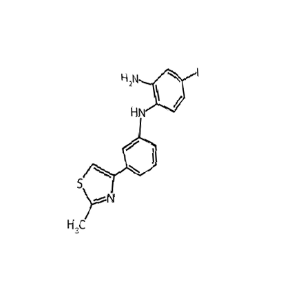 Cc1nc(-c2cccc(Nc3ccc(I)cc3N)c2)cs1